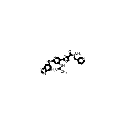 CC(C)Nc1cc(Nc2ccc3ncsc3c2)ncc1-c1nc(C(=O)N(C)Cc2cccnc2)cs1